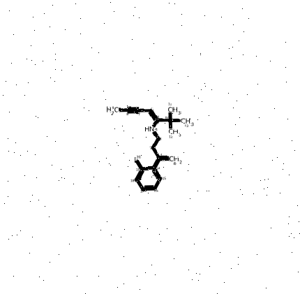 C=C(CCN/C(=C\C#CC)C(C)(C)C)c1ccccc1I